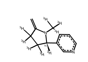 [2H]C([2H])([2H])N1C(=C)C([2H])([2H])C([2H])([2H])[C@@]1([2H])c1cccnc1